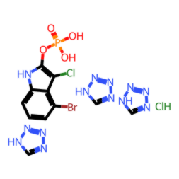 Cl.O=P(O)(O)Oc1[nH]c2cccc(Br)c2c1Cl.c1nnn[nH]1.c1nnn[nH]1.c1nnn[nH]1